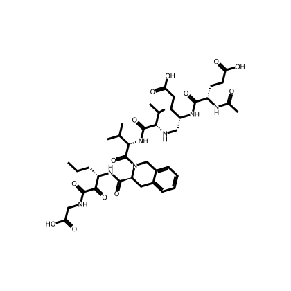 CCC[C@H](NC(=O)[C@@H]1Cc2ccccc2CN1C(=O)[C@@H](NC(=O)[C@@H](NC[C@H](CCC(=O)O)NC(=O)[C@H](CCC(=O)O)NC(C)=O)C(C)C)C(C)C)C(=O)C(=O)NCC(=O)O